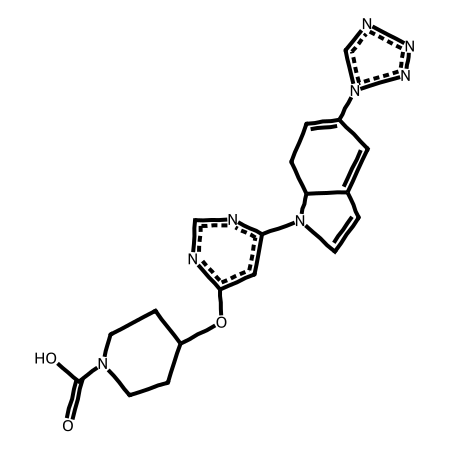 O=C(O)N1CCC(Oc2cc(N3C=CC4=CC(n5cnnn5)=CCC43)ncn2)CC1